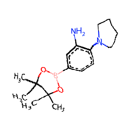 CC1(C)OB(c2ccc(N3CCCC3)c(N)c2)OC1(C)C